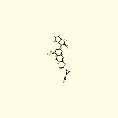 N#C[C@@H]1C[C@H]1C(=O)Nc1cc2cc(N3C(=O)OC4CCCC43)cc(N)c2cn1